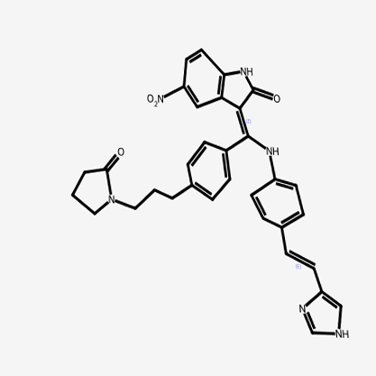 O=C1Nc2ccc([N+](=O)[O-])cc2/C1=C(/Nc1ccc(/C=C/c2c[nH]cn2)cc1)c1ccc(CCCN2CCCC2=O)cc1